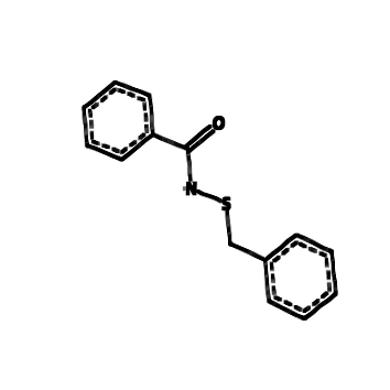 O=C([N]SCc1ccccc1)c1ccccc1